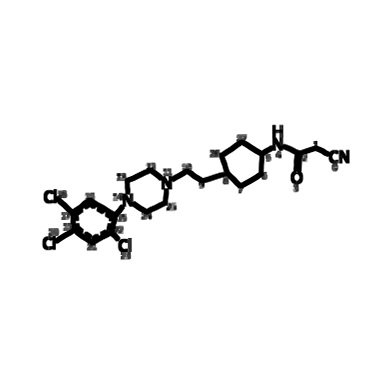 N#CCC(=O)NC1CCC(CCN2CCN(c3cc(Cl)c(Cl)cc3Cl)CC2)CC1